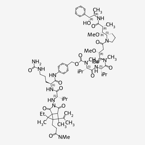 C=C(C)C1(C)C2C(=O)N(N[C@H](C(=O)N[C@@H](CCCNC(N)=O)C(=O)Nc3ccc(COC(=O)N(C)[C@H](C(=O)N[C@H](C(=O)N(C)[C@@H]([C@@H](C)CC)[C@@H](CC(=O)N4CCC[C@H]4[C@H](OC)[C@@H](C)C(=O)N[C@H](C)[C@H](O)c4ccccc4)OC)C(C)C)C(C)C)cc3)C(C)C)C(=O)C23C(C)(CC)C13CCC(=O)NC